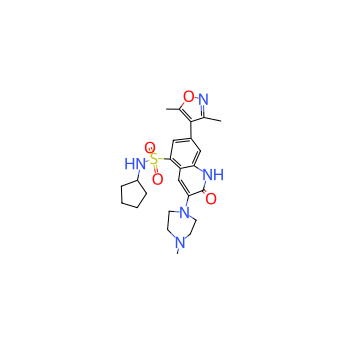 Cc1noc(C)c1-c1cc(S(=O)(=O)NC2CCCC2)c2cc(N3CCN(C)CC3)c(=O)[nH]c2c1